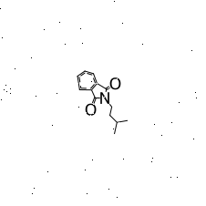 CC(C)CCN1C(=O)c2ccccc2C1=O